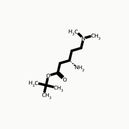 CN(C)CC[C@H](N)CC(=O)OC(C)(C)C